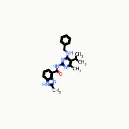 Cc1nc2c(C(=O)Nc3nc(C)c(C(C)C)c(NCc4ccccc4)n3)cccc2[nH]1